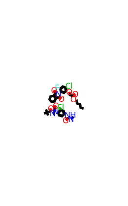 CCCCCOC(=O)COc1cc(N2C(=O)C3=C(CCCC3)C2=O)c(F)cc1Cl.CN(C)C(=O)Nc1ccc(-n2nc(C(C)(C)C)oc2=O)c(Cl)c1